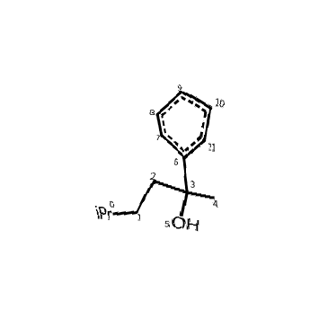 CC(C)CCC(C)(O)c1ccccc1